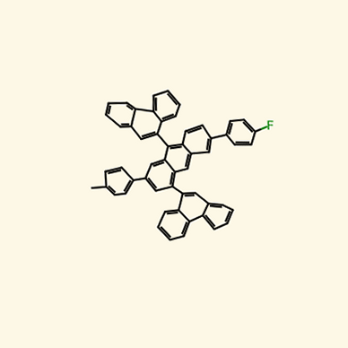 Cc1ccc(-c2cc(-c3cc4ccccc4c4ccccc34)c3cc4cc(-c5ccc(F)cc5)ccc4c(-c4cc5ccccc5c5ccccc45)c3c2)cc1